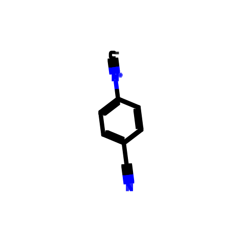 [C-]#[N+]c1ccc(C#N)cc1